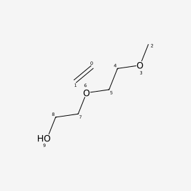 C=C.COCCOCCO